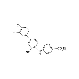 CCOC(=O)c1ccc(Nc2ccc(-c3ccc(Cl)c(Cl)c3)cc2C#N)cc1